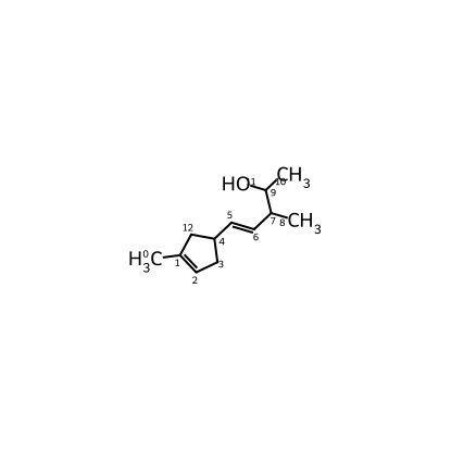 CC1=CCC(C=CC(C)C(C)O)C1